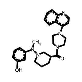 CN(c1cccc(O)c1)N1CCCC(C(=O)N2CCN(c3ccnc4ccccc34)CC2)C1